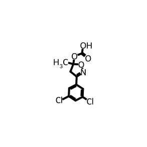 CC1(OC(=O)O)CC(c2cc(Cl)cc(Cl)c2)=NO1